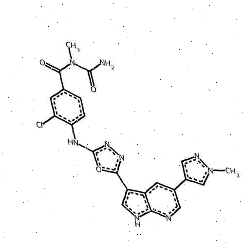 CN(C(N)=O)C(=O)c1ccc(Nc2nnc(-c3c[nH]c4ncc(-c5cnn(C)c5)cc34)o2)c(Cl)c1